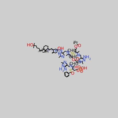 C/C(=C(\CCOC(=O)C(C)C)SS/C(CCOC(=O)C(C)C)=C(/C)N(C=O)Cc1cnc(C)nc1N)N(C=O)Cc1cnc(C)nc1N.C/C(=C(\CCOP(=O)(O)O)SC(=O)c1ccccc1)N(C=O)Cc1cnc(C)nc1N.C=C1CC[C@H](O)C/C1=C/C=C1\CCC[C@]2(C)[C@@H]([C@H](C)CCCC(C)(C)O)CC[C@@H]12